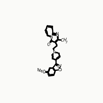 COc1ccc2onc(C3=CCN(CCc4c(C)nc5ccccn5c4=O)C=C3)c2c1